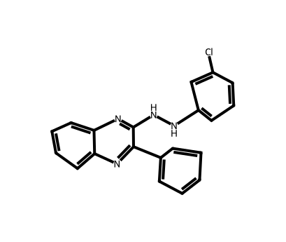 Clc1cccc(NNc2nc3ccccc3nc2-c2ccccc2)c1